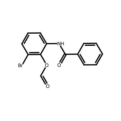 O=COc1c(Br)cccc1NC(=O)c1ccccc1